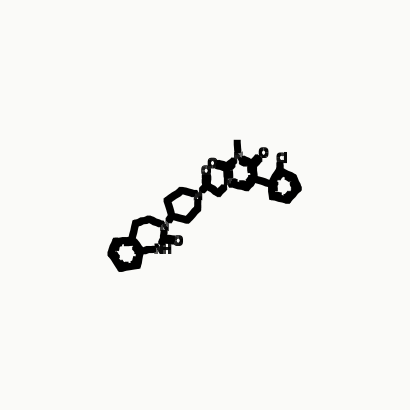 Cn1c(=O)c(-c2ccccc2Cl)cn(CC(=O)N2CCC(N3CCc4ccccc4NC3=O)CC2)c1=O